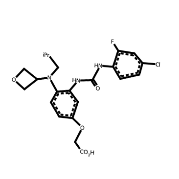 CC(C)CN(c1ccc(OCC(=O)O)cc1NC(=O)Nc1ccc(Cl)cc1F)C1COC1